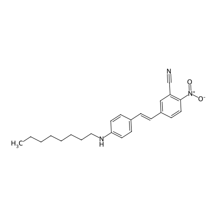 CCCCCCCCNc1ccc(C=Cc2ccc([N+](=O)[O-])c(C#N)c2)cc1